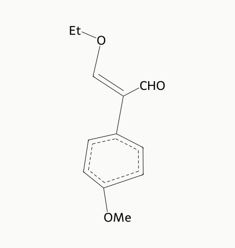 CCOC=C(C=O)c1ccc(OC)cc1